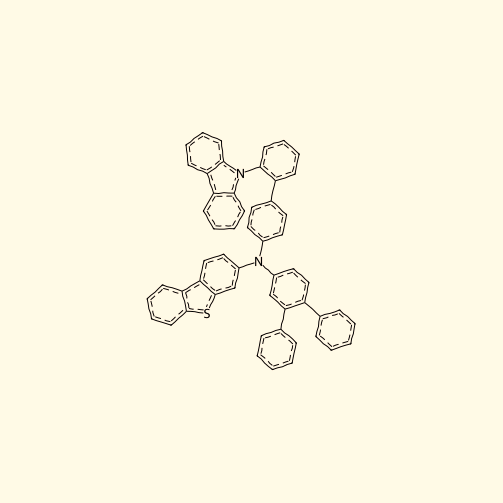 c1ccc(-c2ccc(N(c3ccc(-c4ccccc4-n4c5ccccc5c5ccccc54)cc3)c3ccc4c(c3)sc3ccccc34)cc2-c2ccccc2)cc1